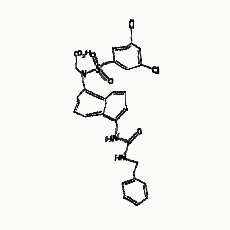 O=C(O)CN(c1cccc2c(NC(=O)NCc3ccccc3)cccc12)S(=O)(=O)c1cc(Cl)cc(Cl)c1